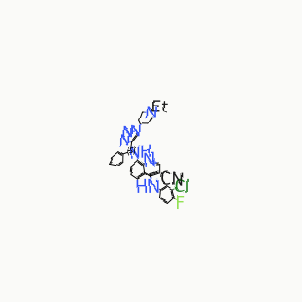 CCN1CCC(n2cc([C@@H](Nc3cccc4c(Nc5ccc(F)c(Cl)c5)c(C#N)cnc34)c3ccccc3)nn2)CC1